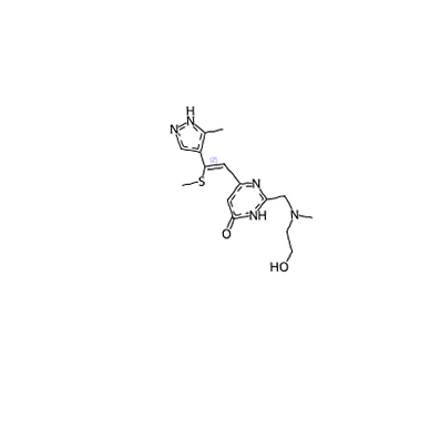 CS/C(=C\c1cc(=O)[nH]c(CN(C)CCO)n1)c1cn[nH]c1C